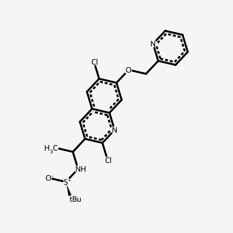 CC(N[S@+]([O-])C(C)(C)C)c1cc2cc(Cl)c(OCc3ccccn3)cc2nc1Cl